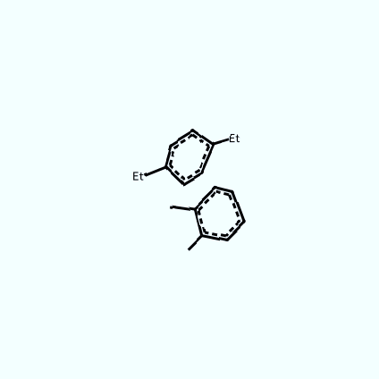 CCc1ccc(CC)cc1.Cc1ccccc1C